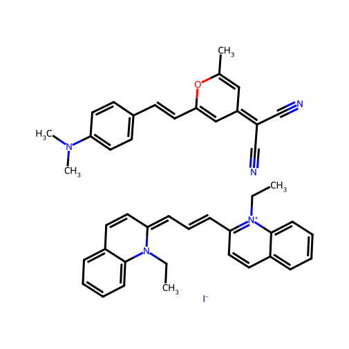 CC1=CC(=C(C#N)C#N)C=C(C=Cc2ccc(N(C)C)cc2)O1.CCN1C(=CC=Cc2ccc3ccccc3[n+]2CC)C=Cc2ccccc21.[I-]